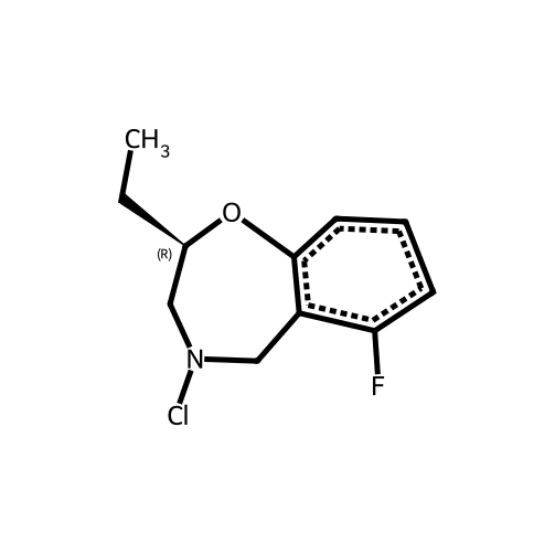 CC[C@@H]1CN(Cl)Cc2c(F)cccc2O1